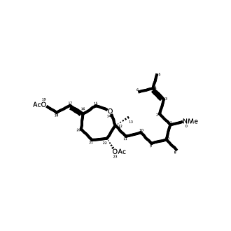 CNC(CC=C(C)C)C(C)CCC[C@]1(C)OC/C(=C/COC(C)=O)CC[C@H]1OC(C)=O